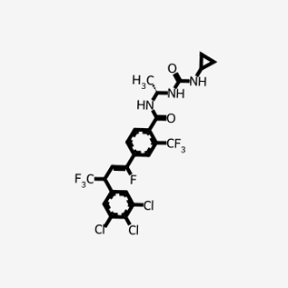 C[C@H](NC(=O)NC1CC1)NC(=O)c1ccc(/C(F)=C/C(c2cc(Cl)c(Cl)c(Cl)c2)C(F)(F)F)cc1C(F)(F)F